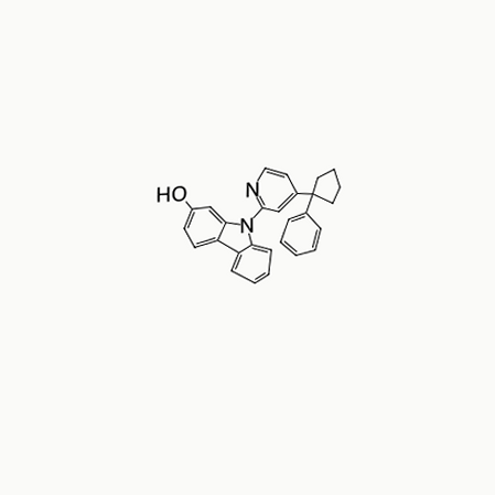 Oc1ccc2c3ccccc3n(-c3cc(C4(c5ccccc5)CCCC4)ccn3)c2c1